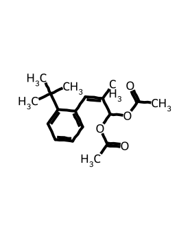 CC(=O)OC(OC(C)=O)C(C)=Cc1ccccc1C(C)(C)C